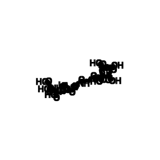 O=C(O)CC[C@@H](NC(=O)N[C@H](CCCCCN(Cc1ccc(I)cc1)C(=O)c1ccc(CNC(=O)CCCCNC(=O)CCC(C(=O)O)N2CCN(CC(=O)O)CCN(CC(=O)O)CCN(CC(=O)O)CC2)cc1)C(=O)O)C(=O)O